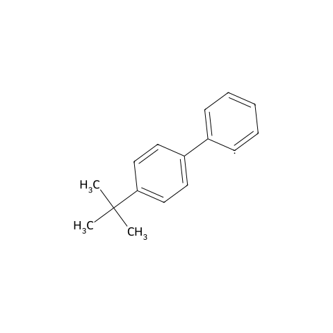 CC(C)(C)c1ccc(-c2[c]cccc2)cc1